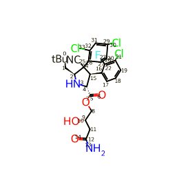 CC(C)(C)C[C@@H]1N[C@@H](C(=O)OC[C@@H](O)CC(N)=O)[C@H](c2cccc(Cl)c2F)[C@@]1(C#N)c1ccc(Cl)cc1Cl